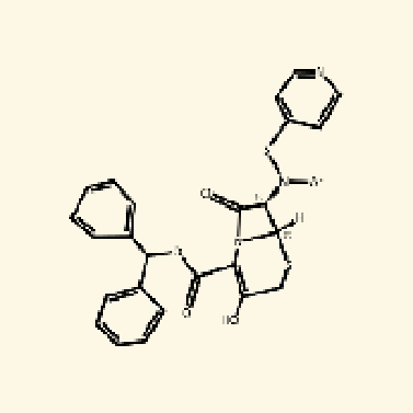 CC(=O)N(Sc1ccncc1)[C@@H]1C(=O)N2C(C(=O)OC(c3ccccc3)c3ccccc3)=C(O)CS[C@@H]12